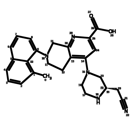 Cc1cccc2cccc(N3CCc4c(N5CCN[C@@H](CC#N)C5)cc(C(=O)O)nc4C3)c12